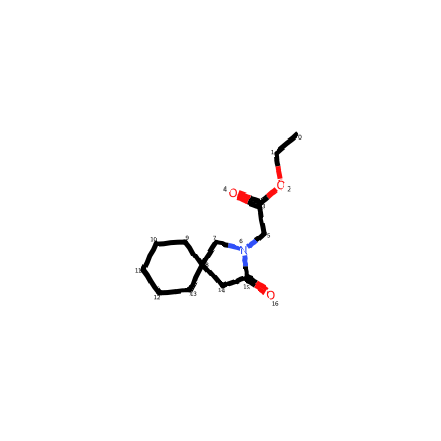 CCOC(=O)CN1CC2(CCCCC2)CC1=O